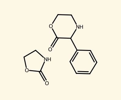 O=C1NCCO1.O=C1OCCNC1c1ccccc1